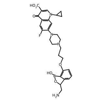 NCC1OB(O)c2c(OCCCN3CCN(c4cc5c(cc4F)c(=O)c(C(=O)O)cn5C4CC4)CC3)cccc21